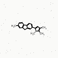 Cc1ccc2c(c1)Cc1cc(-c3cc(C)c(C)n3C)ccc1-2